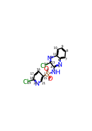 O=S(=O)(Nc1nc2ccccc2nc1Cl)c1ccc(Cl)nc1